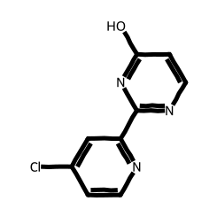 Oc1ccnc(-c2cc(Cl)ccn2)n1